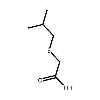 CC(C)CSCC(=O)O